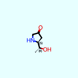 C[C@@H](O)[C@@H]1CC(=O)CN1